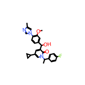 COc1cc(C(O)c2cc(C3CC3)cn(C(C)c3ccc(F)cc3)c2=O)ccc1-n1cnc(C)c1